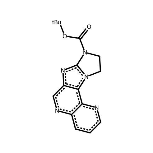 CC(C)(C)OC(=O)N1CCn2c1nc1cnc3cccnc3c12